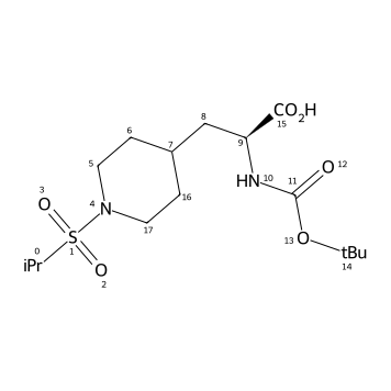 CC(C)S(=O)(=O)N1CCC(C[C@H](NC(=O)OC(C)(C)C)C(=O)O)CC1